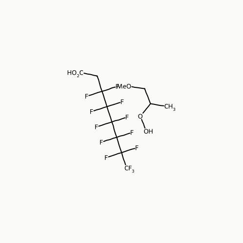 COCC(C)OO.O=C(O)CC(F)(F)C(F)(F)C(F)(F)C(F)(F)C(F)(F)C(F)(F)F